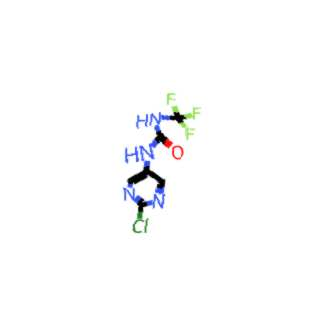 O=C(Nc1cnc(Cl)nc1)NC(F)(F)F